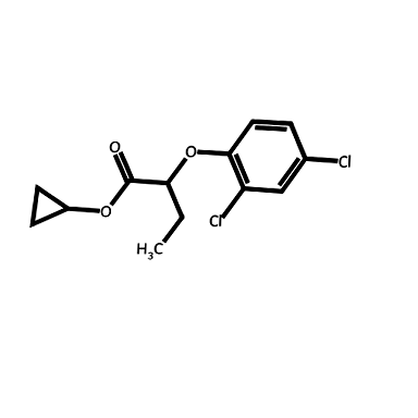 CCC(Oc1ccc(Cl)cc1Cl)C(=O)OC1CC1